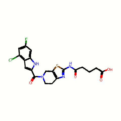 O=C(O)CCCC(=O)Nc1nc2c(s1)CN(C(=O)c1cc3c(Cl)cc(F)cc3[nH]1)CC2